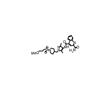 COCCCS(=O)(=O)N1CCC(Cn2nc(C)c(NC(=O)c3cc(C(N)=O)nc4ccccc34)c2C)CC1